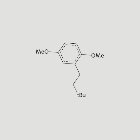 COc1ccc(OC)c(CCC(C)(C)C)c1